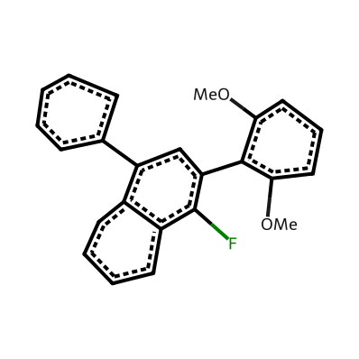 COc1cccc(OC)c1-c1cc(-c2ccccc2)c2ccccc2c1F